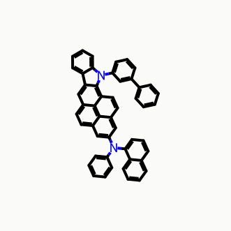 c1ccc(-c2cccc(-n3c4ccccc4c4cc5ccc6cc(N(c7ccccc7)c7cccc8ccccc78)cc7ccc(c5c67)c43)c2)cc1